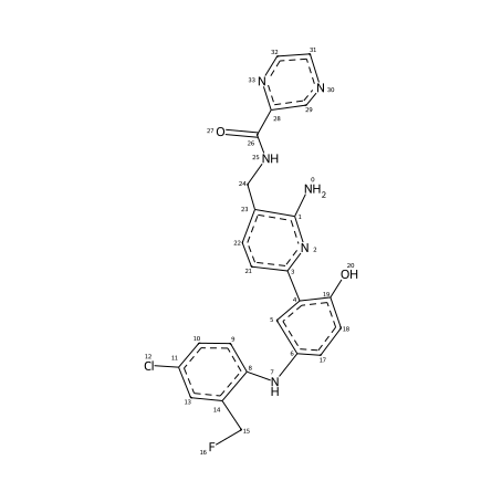 Nc1nc(-c2cc(Nc3ccc(Cl)cc3CF)ccc2O)ccc1CNC(=O)c1cnccn1